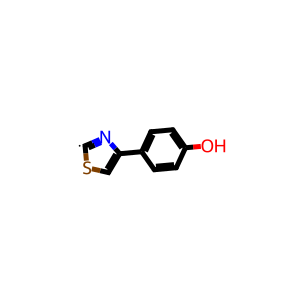 Oc1ccc(-c2cs[c]n2)cc1